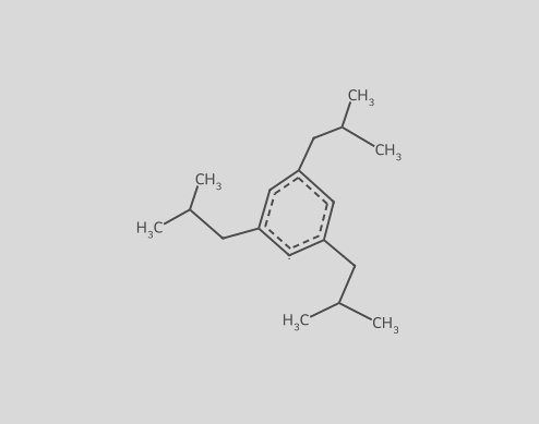 CC(C)Cc1[c]c(CC(C)C)cc(CC(C)C)c1